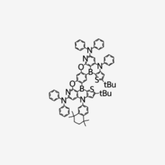 CC(C)(C)c1cc2c(s1)B1c3cc4c(cc3Oc3nc(N(c5ccccc5)c5ccccc5)cc(c31)N2c1ccccc1)Oc1nc(N(c2ccccc2)c2ccccc2)cc2c1B4c1sc(C(C)(C)C)cc1N2c1ccc2c(c1)C(C)(C)CCC2(C)C